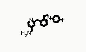 NCc1ccnc(Cc2cccc3c2ccn3-c2ccc(F)cc2)c1